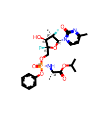 Cc1ccn([C@@H]2O[C@](F)(CO[P@@](=O)(N[C@@H](C)C(=O)OC(C)C)Oc3ccccc3)[C@@H](O)[C@@]2(C)F)c(=O)n1